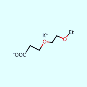 CCOCCOCCC(=O)[O-].[K+]